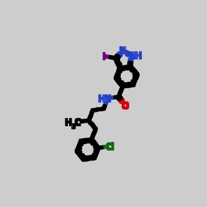 CC(CCNC(=O)c1ccc2[nH]nc(I)c2c1)Cc1ccccc1Cl